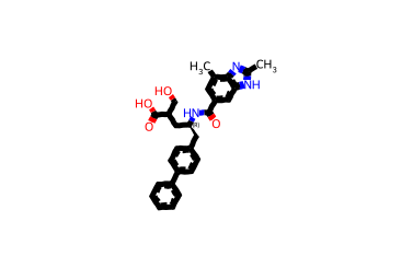 Cc1nc2c(C)cc(C(=O)N[C@@H](Cc3ccc(-c4ccccc4)cc3)CC(CO)C(=O)O)cc2[nH]1